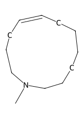 CN1CCC/C=C\CCCCCC1